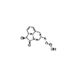 O=C1C(=O)c2cc(SOOO)cc3cccc1c23